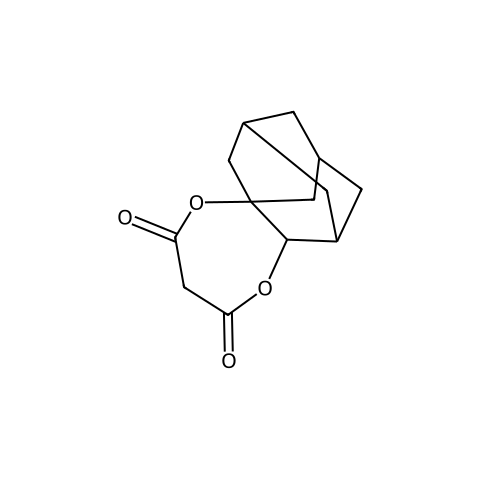 O=C1CC(=O)OC23CC4CC(CC(C4)C2O1)C3